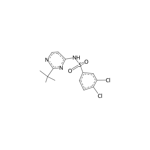 CC(C)(C)c1nccc(NS(=O)(=O)c2ccc(Cl)c(Cl)c2)n1